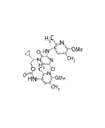 COc1nc(C)c(NC(=O)OCC(C2CC2)n2cc(Cl)nc(Nc3cc(C)c(OC)nc3C)c2=O)cc1C